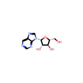 OC[C@H]1O[C@@H](n2cnc3cncnc32)[C@@H](O)[C@@H]1O